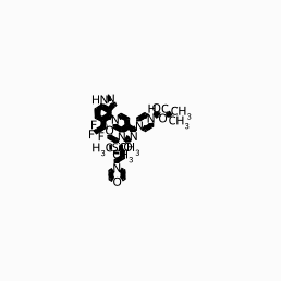 CC(C)(C)OC(=O)N1CCN(c2nc(OCCCN3CCOCC3)nc3c2CCN(c2c([C@H](OCC[Si](C)(C)C)C(F)(F)F)ccc4[nH]ncc24)C3)CC1